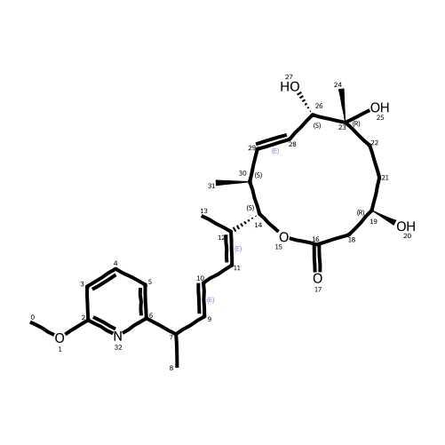 COc1cccc(C(C)/C=C/C=C(\C)[C@H]2OC(=O)C[C@H](O)CC[C@@](C)(O)[C@@H](O)/C=C/[C@@H]2C)n1